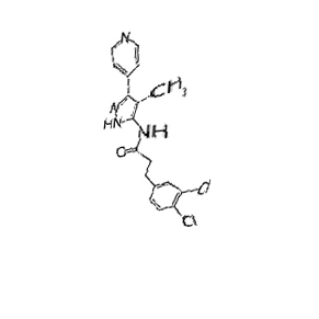 Cc1c(-c2ccncc2)n[nH]c1NC(=O)CCc1ccc(Cl)c(Cl)c1